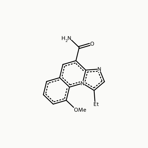 CCc1cnc2c(C(N)=O)cc3cccc(OC)c3n12